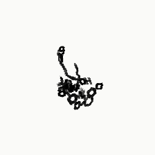 CCCC[C@](O)(C#CCCCN1CCOCC1)[C@@H]1CC[C@H]1CN1C[C@@]2(CCCc3cc(Cl)ccc32)COc2ccc(C(=O)NS(=O)(=O)C(C)C)cc21